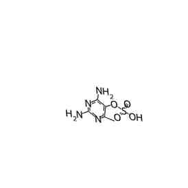 Cc1nc(N)nc(N)c1OS(=O)(=O)O